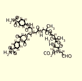 CC(C)(CNC(=O)CN(CCN1CC(=O)N(c2ccc(S(N)(=O)=O)cc2)C(=O)C1)CC(=O)Nc1ccc(S(N)(=O)=O)cc1)OCCC(C)(C)C(=O)N[C@@H](CC(=O)O)C(=O)NCC=O